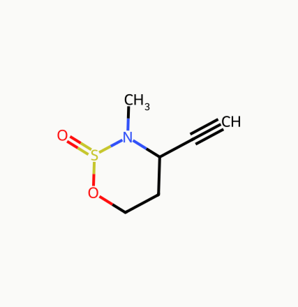 C#CC1CCOS(=O)N1C